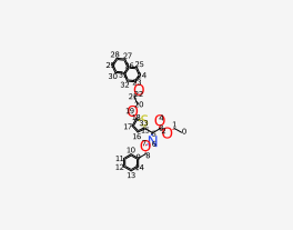 CCOC(=O)/C(=N/OCc1ccccc1)c1ccc(OCCOc2ccc3ccccc3c2)s1